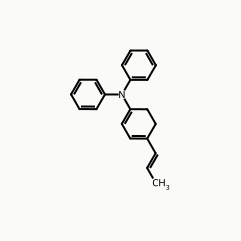 C/C=C/C1=CC=C(N(c2ccccc2)c2ccccc2)CC1